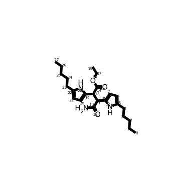 CCCCCc1ccc(C(C(N)=O)C(C(=O)OCC)c2ccc(CCCCC)[nH]2)[nH]1